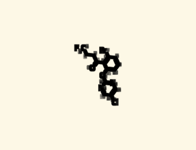 O=C(CCC(F)(F)F)c1c(Br)cccc1Oc1ncc(Cl)cn1